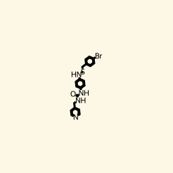 O=C(NCc1ccncc1)Nc1ccc(NSCc2ccc(Br)cc2)cc1